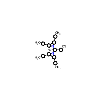 Cc1ccc(-c2ccc3c(c2)c2cc(-c4ccc(C)cc4)ccc2n3-c2cc(-c3cccc(C#N)c3)cc(-n3c4ccc(-c5ccc(C)cc5)cc4c4cc(-c5ccc(C)cc5)ccc43)c2C#N)cc1